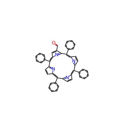 O=CC1=CC2=C(c3ccccc3)C3=NC(=C(c4ccccc4)C4=NC(=C(c5ccccc5)C5=NC(=C(c6ccccc6)C1=N2)C=C5)C=C4)C=C3